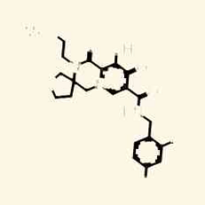 COCCN1C(=O)c2c(O)c(=O)c(C(=O)NCc3ccc(F)cc3F)cn2CC12CCOC2